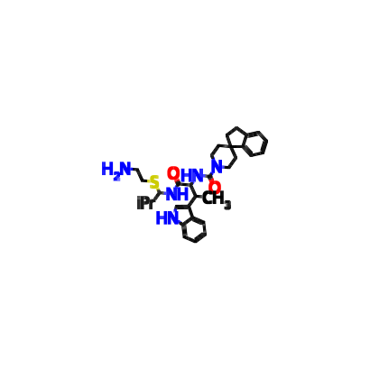 CC(C)C(NC(=O)C(NC(=O)N1CCC2(CCc3ccccc32)CC1)C(C)c1c[nH]c2ccccc12)SCCN